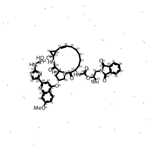 COc1ccc2c(O[C@@H]3C[C@H]4C(=O)N[C@]5(C(=O)O)CC5/C=C\CCCCC[C@H](NC(=O)OC(CN5C(=O)c6ccccc6C5=O)C(C)(C)C)C(=O)N4C3)cc(-c3csc(NC(C)C)n3)nc2c1